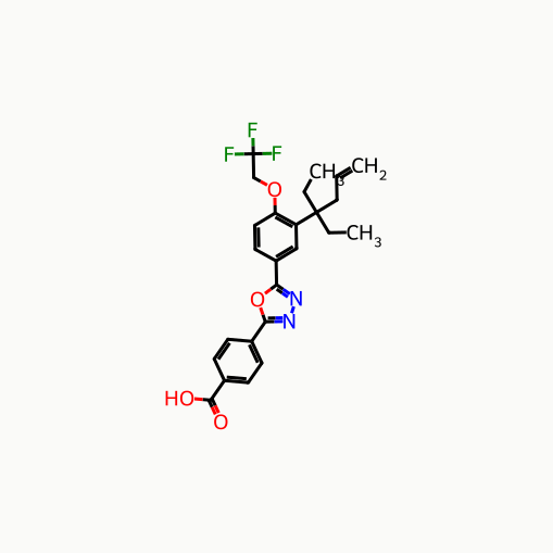 C=CCC(CC)(CC)c1cc(-c2nnc(-c3ccc(C(=O)O)cc3)o2)ccc1OCC(F)(F)F